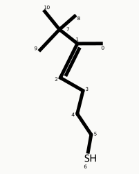 C/C(=C\CCCS)C(C)(C)C